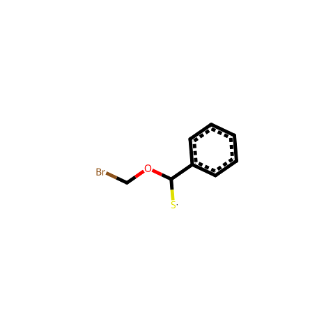 [S]C(OCBr)c1ccccc1